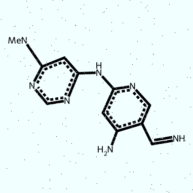 CNc1cc(Nc2cc(N)c(C=N)cn2)ncn1